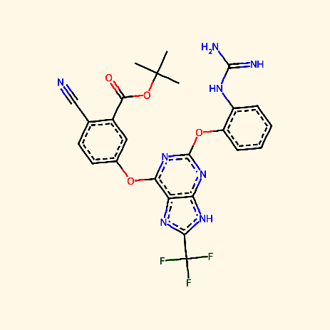 CC(C)(C)OC(=O)c1cc(Oc2nc(Oc3ccccc3NC(=N)N)nc3[nH]c(C(F)(F)F)nc23)ccc1C#N